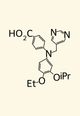 CCOc1ccc(N(Cc2cncnc2)c2ccc(C(=O)O)cc2)cc1OC(C)C